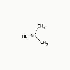 Br.[CH3][Sn][CH3]